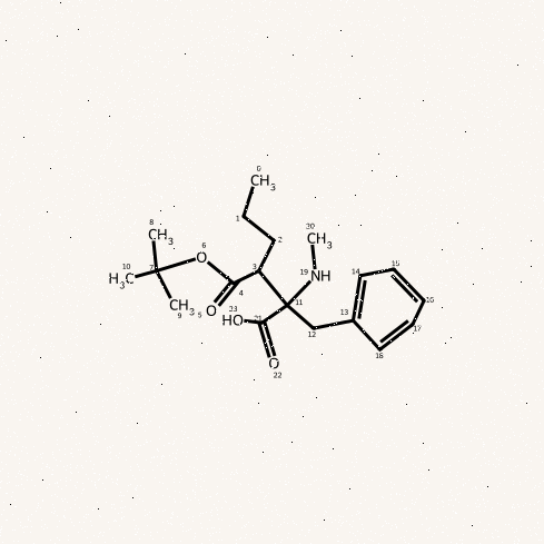 CCCC(C(=O)OC(C)(C)C)C(Cc1ccccc1)(NC)C(=O)O